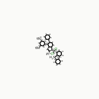 CC(C)C1=Cc2c(ccc(-c3ccccc3)c2-c2cc(C(C)(C)C)cc(C(C)(C)C)c2)[CH]1[Zr]([Cl])([Cl])[c]1cccc2c1[SiH2]c1ccccc1-2